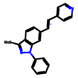 CSc1nn(-c2ccccc2)c2cc(/C=C/c3ccncc3)ccc12